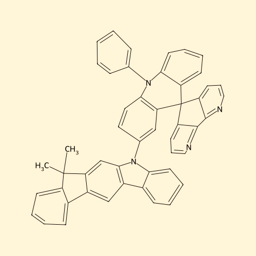 CC1(C)c2ccccc2-c2cc3c4ccccc4n(-c4ccc5c(c4)C4(c6ccccc6N5c5ccccc5)c5cccnc5-c5ncccc54)c3cc21